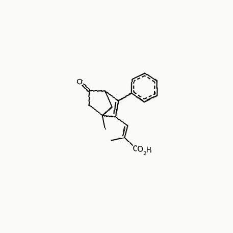 C/C(=C\C1=C(c2ccccc2)C2CC1(C)CC2=O)C(=O)O